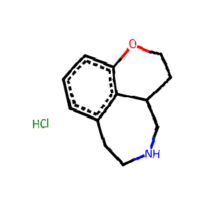 Cl.c1cc2c3c(c1)OCCC3CNCC2